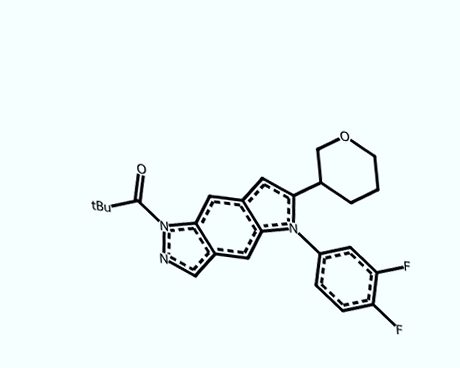 CC(C)(C)C(=O)n1ncc2cc3c(cc(C4CCCOC4)n3-c3ccc(F)c(F)c3)cc21